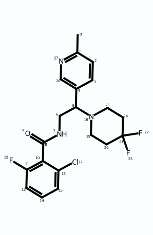 Cc1ccc(C(CNC(=O)c2c(F)cccc2Cl)N2CCC(F)(F)CC2)cn1